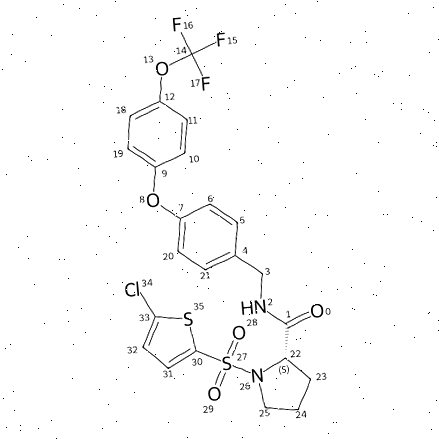 O=C(NCc1ccc(Oc2ccc(OC(F)(F)F)cc2)cc1)[C@@H]1CCCN1S(=O)(=O)c1ccc(Cl)s1